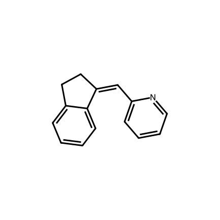 C(=C1\CCc2ccccc21)/c1ccccn1